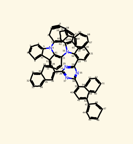 C1#CCC(n2c3ccccc3c3cccc(-n4c5c(c6cccc(-c7nc(-c8ccc9ccccc9c8)nc(-c8ccc(-c9ccccc9)c9ccccc89)n7)c64)C=CCC5)c32)=CC(c2ccccc2)=C1